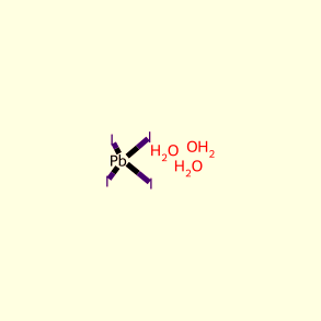 O.O.O.[I][Pb]([I])([I])[I]